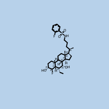 CC[C@H]1[C@@H](O)[C@@H]2[C@H](CC[C@]3(C)[C@@H]([C@H](C)CCCNS(=O)(=O)c4ccccc4F)CC[C@@H]23)[C@@]2(C)CC[C@@H](O)[C@H](F)[C@@H]12